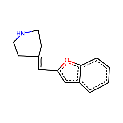 C(=C1CCNCC1)c1cc2ccccc2o1